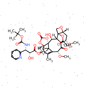 CO[C@H]1C(=O)[C@]2(C)[C@@H](OC)C[C@H]3OC[C@@]3(OC(C)=O)[C@H]2[C@H](O)[C@]23OC(=O)O[C@H]2[C@H](OC(=O)[C@H](O)[C@@H](NC(=O)OC(C)(C)C)c2ccccn2)C(C)=C1C3(C)C